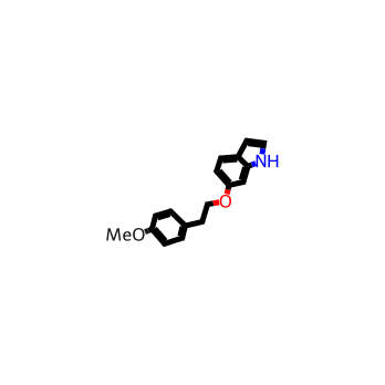 COc1ccc(CCOc2ccc3cc[nH]c3c2)cc1